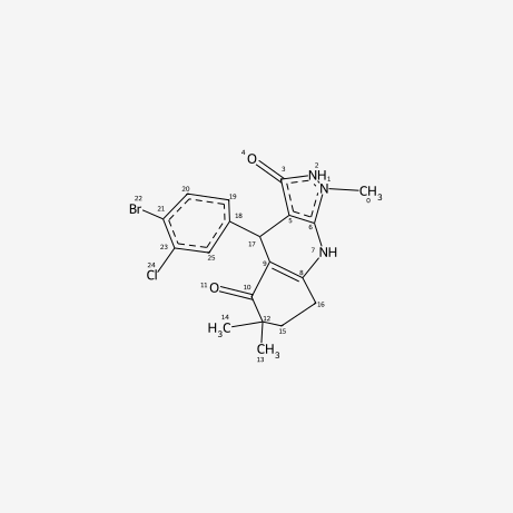 Cn1[nH]c(=O)c2c1NC1=C(C(=O)C(C)(C)CC1)C2c1ccc(Br)c(Cl)c1